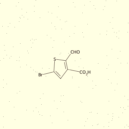 O=Cc1sc(Br)cc1C(=O)O